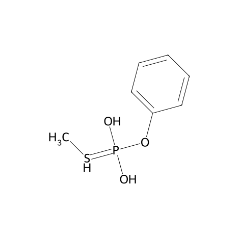 C[SH]=P(O)(O)Oc1ccccc1